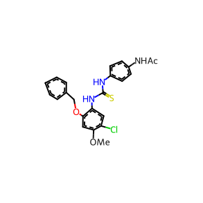 COc1cc(OCc2ccccc2)c(NC(=S)Nc2ccc(NC(C)=O)cc2)cc1Cl